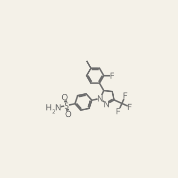 Cc1ccc(C2CC(C(F)(F)F)=NN2c2ccc(S(N)(=O)=O)cc2)c(F)c1